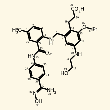 Cc1ccc(NCc2cc(NCCO)cc(OC(C)C)c2CCC(=O)O)c(C(=O)Nc2ccc(/C(N)=N/O)cc2)c1